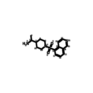 CC(N)C1CCN(S(=O)(=O)c2cccc3cnccc23)CC1